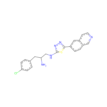 NC(CNc1nnc(-c2ccc3cnccc3c2)s1)Cc1ccc(Cl)cc1